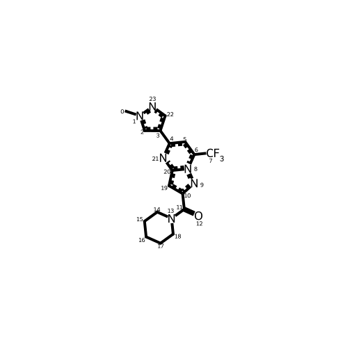 Cn1cc(-c2cc(C(F)(F)F)n3nc(C(=O)N4CCCCC4)cc3n2)cn1